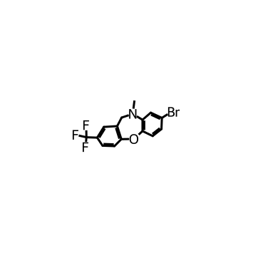 CN1Cc2cc(C(F)(F)F)ccc2Oc2ccc(Br)cc21